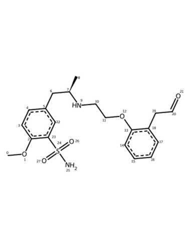 COc1ccc(C[C@@H](C)NCCOc2ccccc2CC=O)cc1S(N)(=O)=O